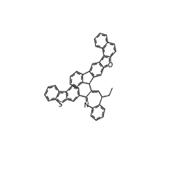 CCC1C=C(C2c3ccccc3-c3cc4c(cc32)oc2ccc3ccccc3c24)C(c2ccc3c(c2)sc2ccccc23)=Nc2ccccc21